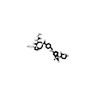 Cn1c(=O)n(C2CCC(=O)NC2=O)c2ccc(NCC3CCC(C(=O)N4CC[C@H]5CC[C@@H](C(=O)O)N5C(=O)[C@@H](NC(=O)OC(C)(C)C)C4)CC3)cc21